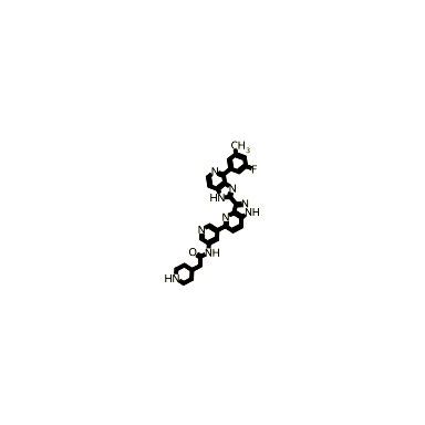 Cc1cc(F)cc(-c2nccc3[nH]c(-c4n[nH]c5ccc(-c6cncc(NC(=O)CC7CCNCC7)c6)nc45)nc23)c1